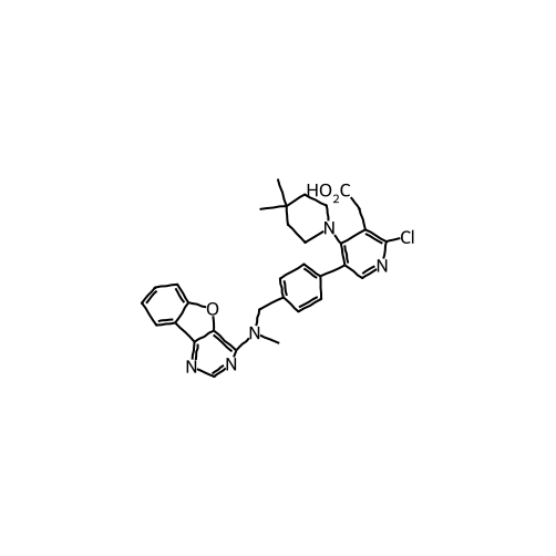 CN(Cc1ccc(-c2cnc(Cl)c(CC(=O)O)c2N2CCC(C)(C)CC2)cc1)c1ncnc2c1oc1ccccc12